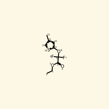 CCOC(=O)C(F)(F)Oc1cc(C)cs1